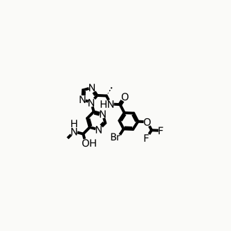 CNC(O)c1cc(-n2ncnc2[C@H](C)NC(=O)c2cc(Br)cc(OC(F)F)c2)ncn1